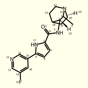 C[C@H]1[C@H](NC(=O)c2ccc(-c3cncc(F)c3)[nH]2)C2CCN1CC2